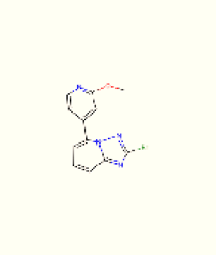 COc1cc(-c2cccc3nc(Br)nn23)ccn1